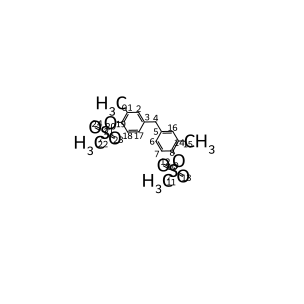 Cc1cc(Cc2ccc(OS(C)(=O)=O)c(C)c2)ccc1OS(C)(=O)=O